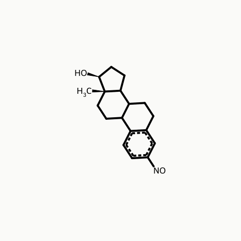 C[C@]12CCC3c4ccc(N=O)cc4CCC3C1CC[C@@H]2O